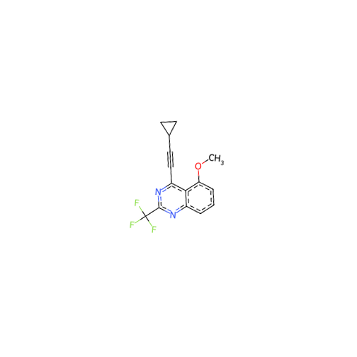 COc1cccc2nc(C(F)(F)F)nc(C#CC3CC3)c12